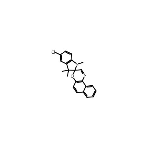 CN1c2ccc(Cl)cc2C(C)(C)C12C=Nc1c(ccc3ccccc13)O2